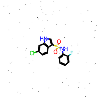 O=S(=O)(Nc1ccccc1F)c1c[nH]c2cc(Cl)ccc12